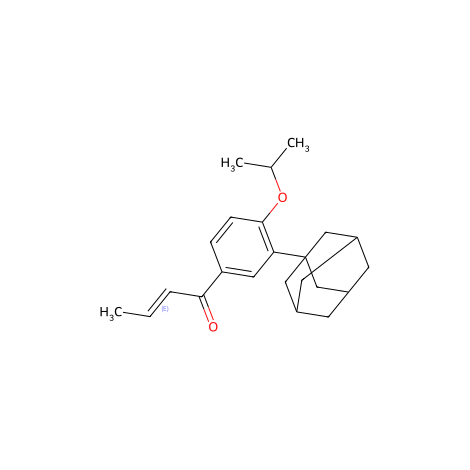 C/C=C/C(=O)c1ccc(OC(C)C)c(C23CC4CC(CC(C4)C2)C3)c1